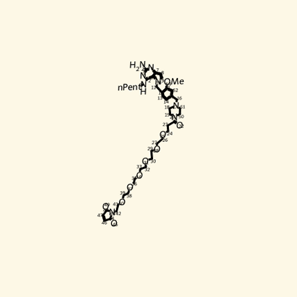 CCCCCNc1nc(N)nc2ccn(Cc3ccc(CN4CCN(C(=O)CCOCCOCCOCCOCCOCCOCCN5C(=O)C=CC5=O)CC4)cc3OC)c12